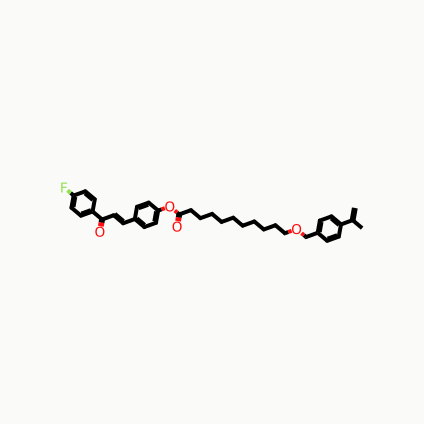 C=C(C)c1ccc(COCCCCCCCCCCC(=O)Oc2ccc(C=CC(=O)c3ccc(F)cc3)cc2)cc1